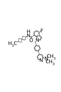 CC1CC2(C1)CC(NC(=O)c1ccc(F)c3ccn(Cc4ccc(-c5ccnc(N(C)C)c5)cc4)c13)C2